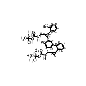 CC(C)(C)OC(=O)NCC1CC1c1ccccc1-c1ccc(F)cc1.CC(C)(C)OC(=O)NCC1CC1c1ccccc1Br